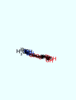 CC(C)NC(C)CC1=CN(CCOCCOCCCOCCOc2ccc(CCOC3CC(O)CC(CO)O3)cc2)NN1C